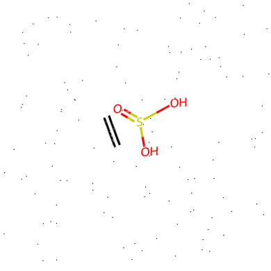 C=C.O=S(O)O